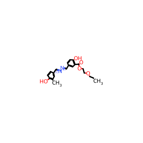 CCCOCCOC(=O)c1cc(/C=N/N=C/c2ccc(O)c(C)c2)ccc1O